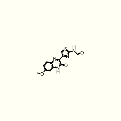 COc1ccc2nc(-c3csc(NC=O)n3)c(=O)[nH]c2c1